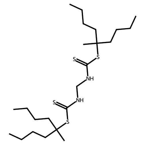 CCCCC(C)(CCCC)SC(=S)NCNC(=S)SC(C)(CCCC)CCCC